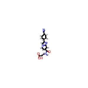 CN(CCC(=O)O)C(=O)c1ccn2cc(-c3ccc(C#N)cc3)nc2c1